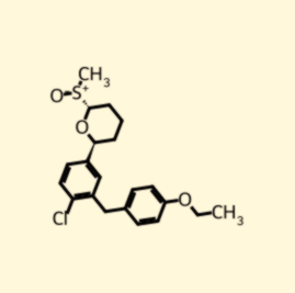 CCOc1ccc(Cc2cc([C@@H]3CCC[C@@H]([S+](C)[O-])O3)ccc2Cl)cc1